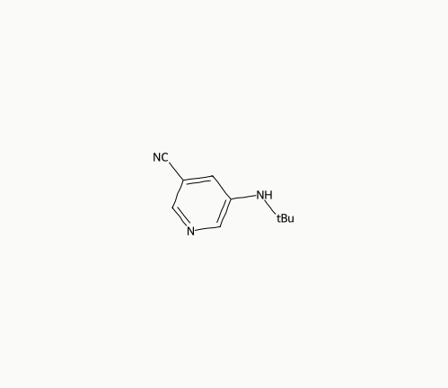 CC(C)(C)Nc1cncc(C#N)c1